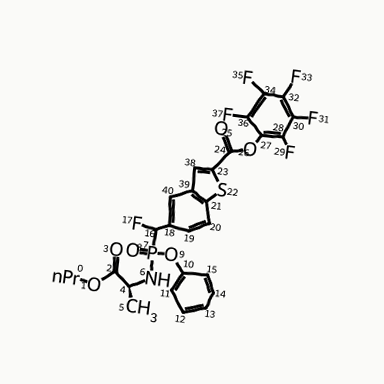 CCCOC(=O)[C@H](C)NP(=O)(Oc1ccccc1)C(F)c1ccc2sc(C(=O)Oc3c(F)c(F)c(F)c(F)c3F)cc2c1